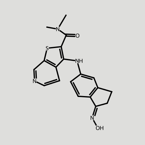 CN(C)C(=O)c1sc2cnccc2c1Nc1ccc2c(c1)CC/C2=N\O